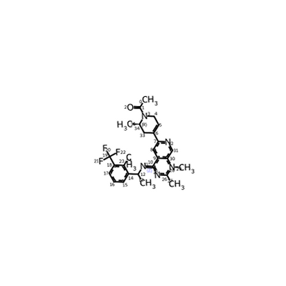 CC(=O)N1CC=C(c2cc3/c(=N/C(C)c4cccc(C(F)(F)F)c4C)nc(C)n(C)c3cn2)C[C@H]1C